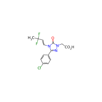 CC(F)(F)/C=C/n1c(-c2ccc(Cl)cc2)nn(CC(=O)O)c1=O